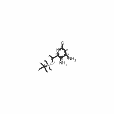 CC(O[Si](C)(C)C(C)(C)C)c1nc(Cl)cc(N)c1N